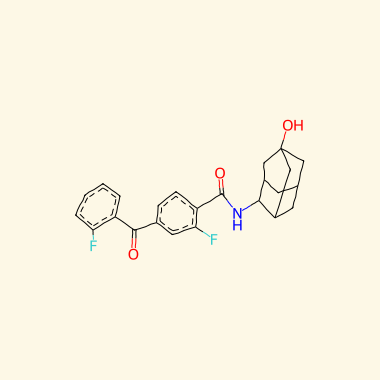 O=C(NC1C2CC3CC1CC(O)(C3)C2)c1ccc(C(=O)c2ccccc2F)cc1F